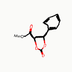 COC(=O)C1OC(=O)OC1c1ccccc1